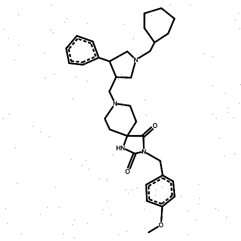 COc1ccc(CN2C(=O)NC3(CCN(CC4CN(CC5CCCCC5)CC4c4ccccc4)CC3)C2=O)cc1